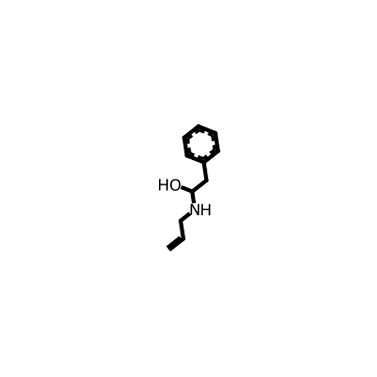 C=CCNC(O)Cc1ccccc1